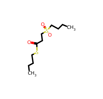 CCCCSC(=O)CCS(=O)(=O)CCCC